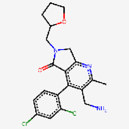 Cc1nc2c(c(-c3ccc(Cl)cc3Cl)c1CN)C(=O)N(CC1CCCO1)C2